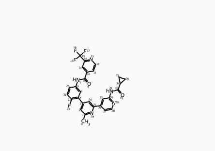 Cc1cc(-c2cc(NC(=O)c3ccnc(C(F)(F)F)c3)ccc2F)cc(-c2ccnc(NC(=O)C3CC3)c2)n1